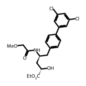 CCOC(=O)[C@@H](O)C[C@H](Cc1ccc(-c2cc(Cl)cc(Cl)c2)cc1)NC(=O)COC